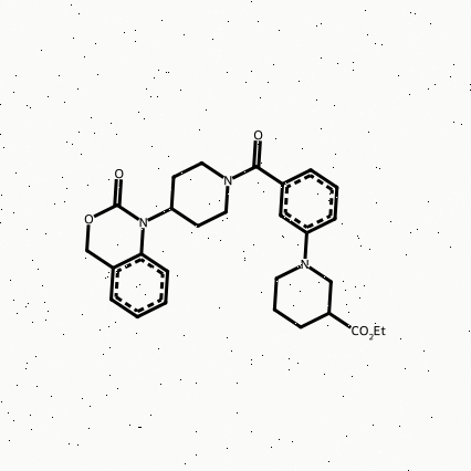 CCOC(=O)C1CCCN(c2cccc(C(=O)N3CCC(N4C(=O)OCc5ccccc54)CC3)c2)C1